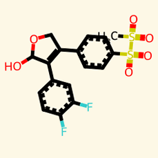 CS(=O)(=O)S(=O)(=O)c1ccc(C2=C(c3ccc(F)c(F)c3)C(O)OC2)cc1